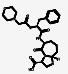 O=C(CN1CCOCC1)S[C@@H](Cc1ccccc1)C(=O)N[C@H]1CCC[C@@H]2SC[C@@H](C(=O)O)N2C1=O